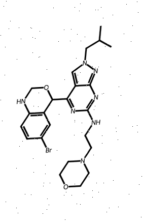 CC(C)Cn1cc2c(C3OCNc4ccc(Br)cc43)nc(NCCN3CCOCC3)nc2n1